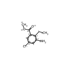 CCc1c(N)cc(Cl)cc1C(=O)OC